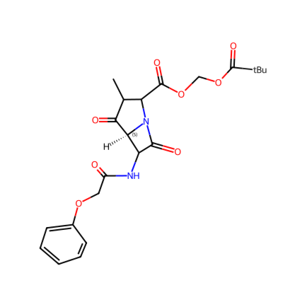 CC1C(=O)[C@@H]2C(NC(=O)COc3ccccc3)C(=O)N2C1C(=O)OCOC(=O)C(C)(C)C